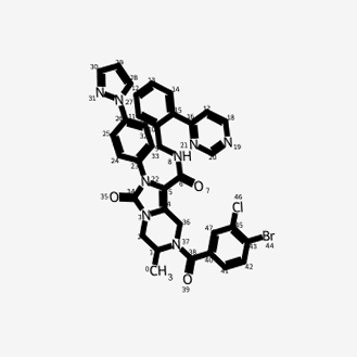 CC1Cn2c(c(C(=O)NCc3ccccc3-c3ccncn3)n(-c3ccc(-n4cccn4)cc3)c2=O)CN1C(=O)c1ccc(Br)c(Cl)c1